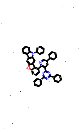 c1ccc(-c2cnc(-c3cccc4oc5cc6c7ccccc7n(-c7ccccc7)c6cc5c34)c(-c3nc(-c4ccccc4)nc(-c4ccccc4)n3)c2)cc1